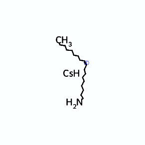 CCCCCCCC/C=C\CCCCCCCCN.[CsH]